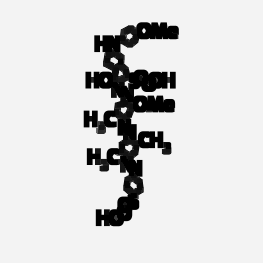 COc1ccc(Nc2ccc3c(O)c(N=Nc4cc(C)c(N=Nc5cc(C)c(N=Nc6ccc(SOOO)cc6)cc5C)cc4OC)c(SOOO)cc3c2)cc1